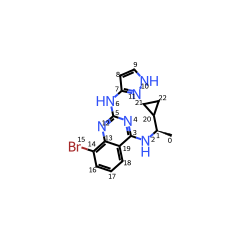 C[C@@H](Nc1nc(Nc2cc[nH]n2)nc2c(Br)cccc12)C1CC1